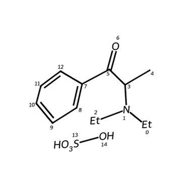 CCN(CC)C(C)C(=O)c1ccccc1.O=S(=O)(O)O